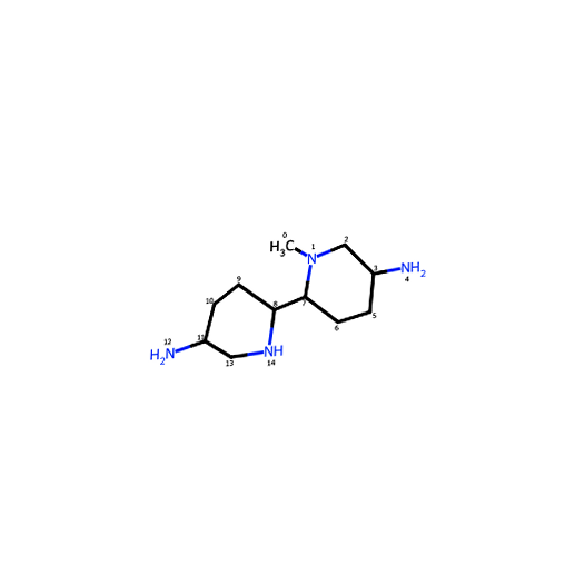 CN1CC(N)CCC1C1CCC(N)CN1